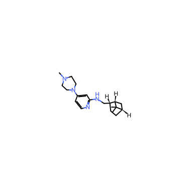 CN1CCN(c2ccnc(NC[C@H]3CC[C@H]4C[C@@H]3C4(C)C)c2)CC1